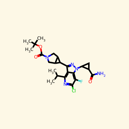 CC(C)c1nc(Cl)c(F)c2c1c(C1C3CN(C(=O)OC(C)(C)C)CC31)nn2C1CC1C(N)=O